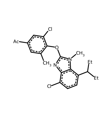 CCC(CC)c1ccc(Cl)c2nc(Oc3c(C)cc(C(C)=O)cc3Cl)n(C)c12